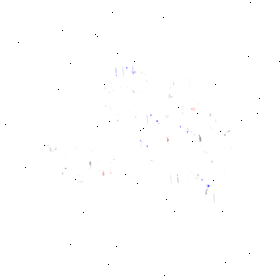 C[C@H](c1c[nH]c2ccccc12)[C@@H](NC(=O)N1CCC(Oc2ccc(F)cc2)CC1)C(=O)Nc1cc(CN(C)C)ccc1F